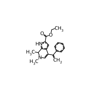 C=C(C1=CN(C)C(C)c2[nH]c(C(=O)OCC)cc21)c1ccccc1